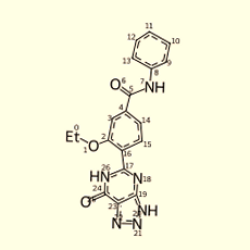 CCOc1cc(C(=O)Nc2ccccc2)ccc1-c1nc2[nH]nnc2c(=O)[nH]1